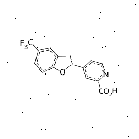 O=C(O)c1cc(C2Cc3cc(C(F)(F)F)ccc3O2)ccn1